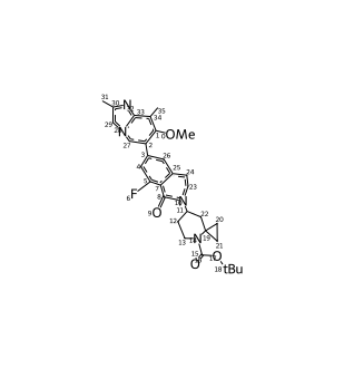 COc1c(-c2cc(F)c3c(=O)n(C4CCN(C(=O)OC(C)(C)C)C5(CC5)C4)ccc3c2)cn2cc(C)nc2c1C